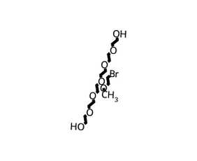 COCCBr.OCCOCCOCCOCCOCCOCCO